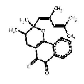 CC(C)=CC(C)=CC1(C)OC2=C(CC1C)C(=O)C(=O)c1ccccc12